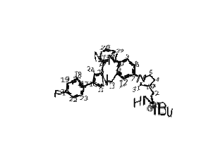 CC[C@@H](C)NC[C@@H]1CCN(c2ccc3c(c2)Cn2cc(-c4ccc(F)cc4)cc2-c2nccn2-3)C1